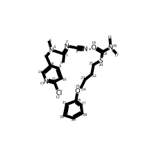 C/C(=N\C#N)N(C)Cc1ccc(Cl)nc1.CN(C)C(=O)SCCCCOc1ccccc1